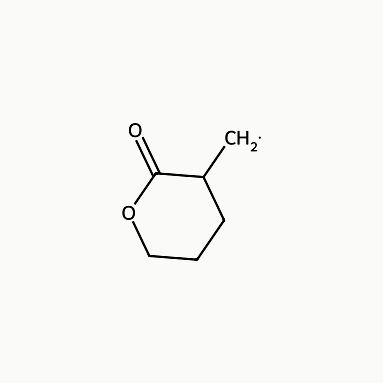 [CH2]C1CCCOC1=O